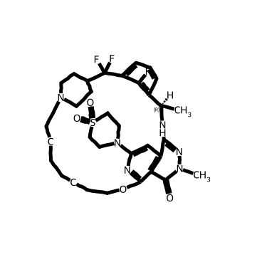 C[C@H]1Nc2nn(C)c(=O)c3c(nc(N4CCS(=O)(=O)CC4)cc23)OCCCCCCCN2CCC(CC2)C(F)(F)c2cccc1c2F